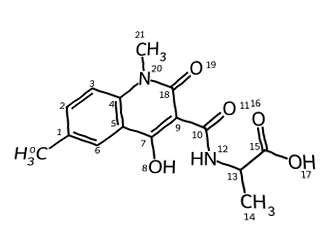 Cc1ccc2c(c1)c(O)c(C(=O)NC(C)C(=O)O)c(=O)n2C